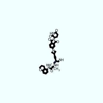 CC(C)(N/C=C(/C#CC1CN(c2ccc3c(c2)C(=O)N(C2CCC(=O)NC2=O)C3=O)C1)C=N)C(=O)Nc1cccc2c1CCCO2